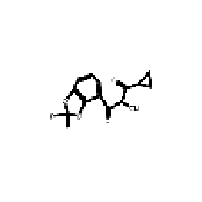 N#CC(C(=O)c1cccc2c1OC(F)(F)O2)C(=O)C1CC1